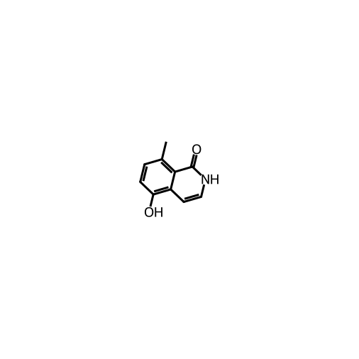 Cc1ccc(O)c2cc[nH]c(=O)c12